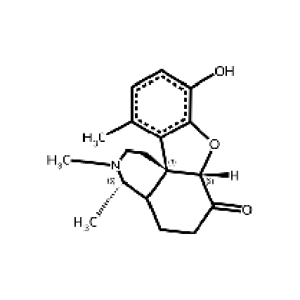 Cc1ccc(O)c2c1[C@@]13CCN(C)[C@@H](C)C1CCC(=O)[C@H]3O2